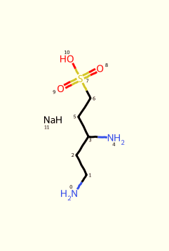 NCCC(N)CCS(=O)(=O)O.[NaH]